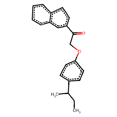 CCC(C)c1ccc(OCC(=O)c2ccc3ccccc3c2)cc1